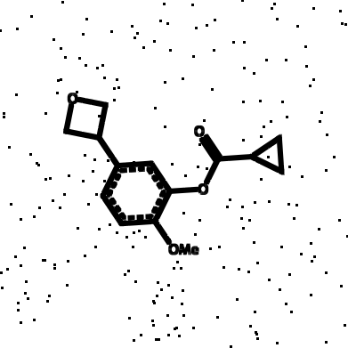 COc1ccc(C2COC2)cc1OC(=O)C1CC1